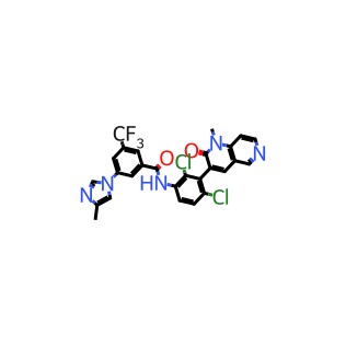 Cc1cn(-c2cc(C(=O)Nc3ccc(Cl)c(-c4cc5cnccc5n(C)c4=O)c3Cl)cc(C(F)(F)F)c2)cn1